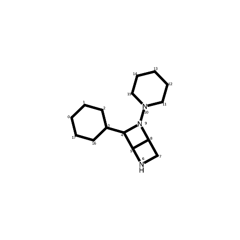 C1CCC(C2C3NCC3N2N2CCCCC2)CC1